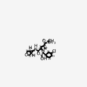 CNC(=O)c1cc(C(=O)NC2[C@H]3COC[C@@H]23)n([C@@H](CO)c2cccc(Cl)c2)n1